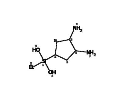 CC[Si](O)(O)C1CC(N)C(N)C1